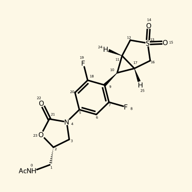 CC(=O)NC[C@H]1CN(c2cc(F)c([C@H]3[C@@H]4CS(=O)(=O)C[C@@H]43)c(F)c2)C(=O)O1